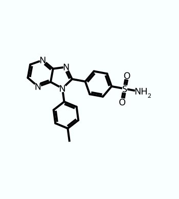 Cc1ccc(-n2c(-c3ccc(S(N)(=O)=O)cc3)nc3nccnc32)cc1